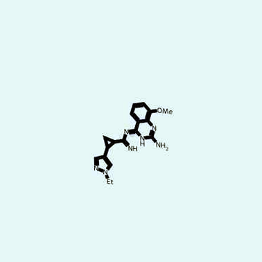 CCn1cc(C2CC2C(=N)/N=c2\[nH]c(N)nc3c(OC)cccc23)cn1